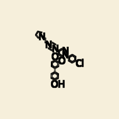 O=c1c(Oc2ccc(-c3ccc(O)cc3)cc2)c(N2CCN(CCN3CCCC3)CC2)cnn1-c1ccc(Cl)cc1